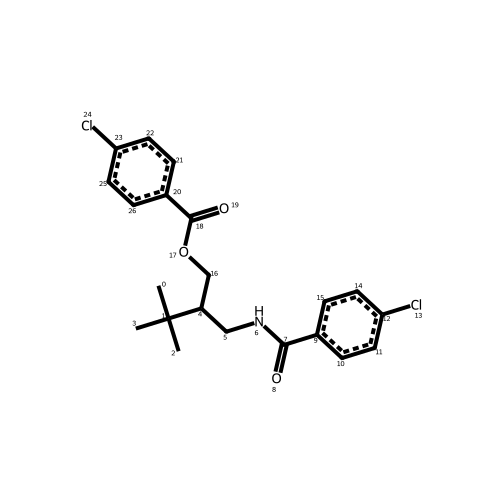 CC(C)(C)C(CNC(=O)c1ccc(Cl)cc1)COC(=O)c1ccc(Cl)cc1